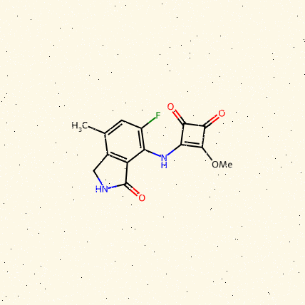 COc1c(Nc2c(F)cc(C)c3c2C(=O)NC3)c(=O)c1=O